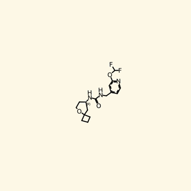 O=C(NCc1ccnc(OC(F)F)c1)N[C@@H]1CCOC2(CCC2)C1